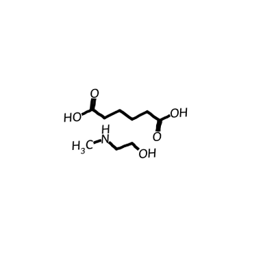 CNCCO.O=C(O)CCCCC(=O)O